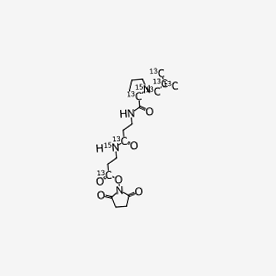 [13CH3][13CH]([13CH3])[13CH2][15N]1CCC[13CH]1C(=O)NCC[13C](=O)[15NH]CC[13C](=O)ON1C(=O)CCC1=O